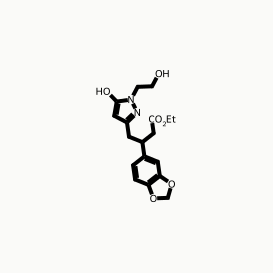 CCOC(=O)CC(Cc1cc(O)n(CCO)n1)c1ccc2c(c1)OCO2